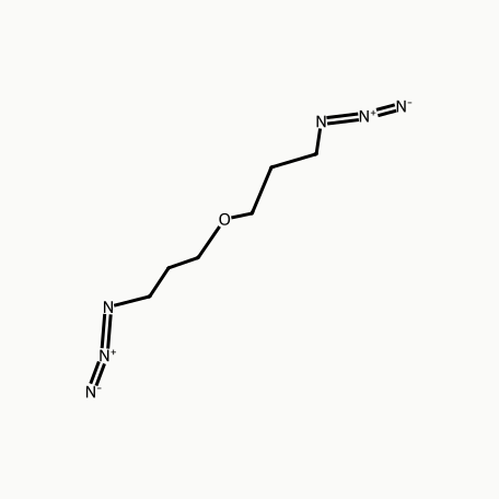 [N-]=[N+]=NCCCOCCCN=[N+]=[N-]